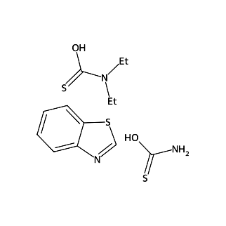 CCN(CC)C(O)=S.NC(O)=S.c1ccc2scnc2c1